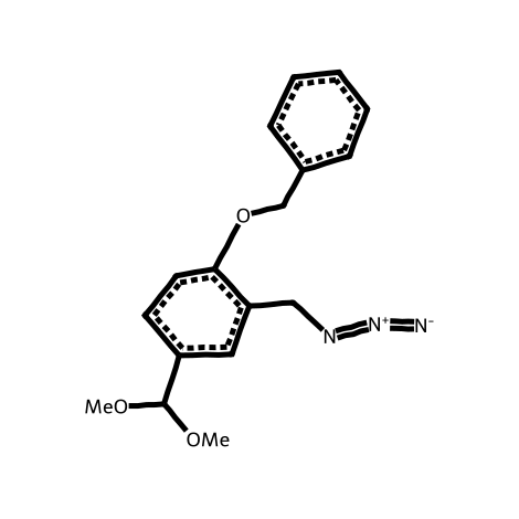 COC(OC)c1ccc(OCc2ccccc2)c(CN=[N+]=[N-])c1